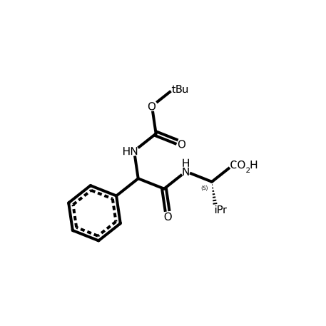 CC(C)[C@H](NC(=O)C(NC(=O)OC(C)(C)C)c1ccccc1)C(=O)O